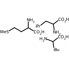 CC(C)CC(N)C(=O)O.CCC(C)C(N)C(=O)O.CSCCC(N)C(=O)O